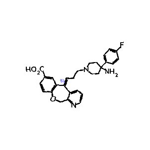 NC1(c2ccc(F)cc2)CCN(CC/C=C2/c3cc(C(=O)O)ccc3OCc3ncccc32)CC1